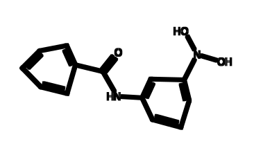 O=C(Nc1cccc(N(O)O)c1)c1ccccc1